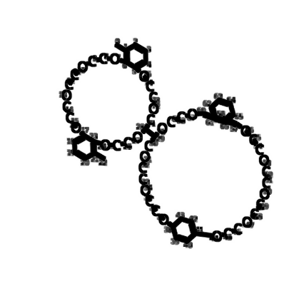 Cc1cccc2c1OCCOCCOCCOc1cccc(C)c1OCCOC(C1COCCOCCOC3C=CC(=CC3)OCCOCCOCCOCCOc3ccc(c4ccccc34)OCCO1)COCCO2